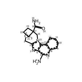 CCc1nc2c(N)nc3ccccc3c2n1CC1(C(N)=O)CCC1